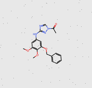 COc1cc(Nc2ncn(C(C)=O)n2)cc(OCc2ccccc2)c1OC